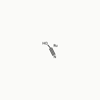 N#CO.[Ru]